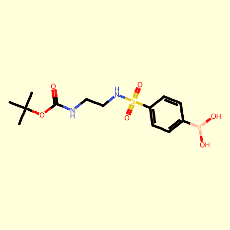 CC(C)(C)OC(=O)NCCNS(=O)(=O)c1ccc(B(O)O)cc1